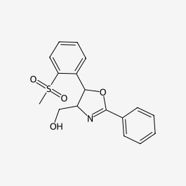 CS(=O)(=O)c1ccccc1C1OC(c2ccccc2)=NC1CO